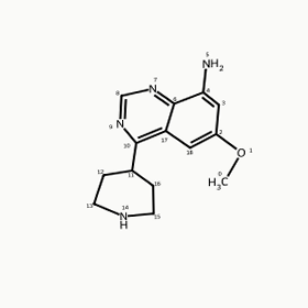 COc1cc(N)c2ncnc(C3CCNCC3)c2c1